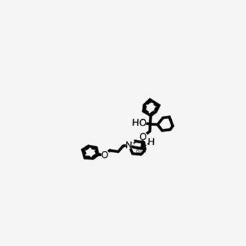 OC(CO[C@@H]1C[N+]2(CCCOc3ccccc3)CCC1CC2)(c1ccccc1)C1CCCCC1